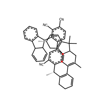 CC1=C(C2=C([C@H](C)c3ccc(-c4ccc(C#N)c(C#N)c4N4c5ccccc5C5C=CC=CC54)cc3C#N)CCC=C2)C=C2C3=C(C=C[C@@H](C)C3)C(C)(C)C2C1